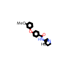 COc1cccc(Oc2ccc(C(=O)NC3CN4CC[C@H]3C4)cc2)c1